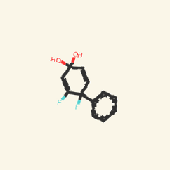 OC1(O)C=CC(F)(c2ccccc2)C(F)=C1